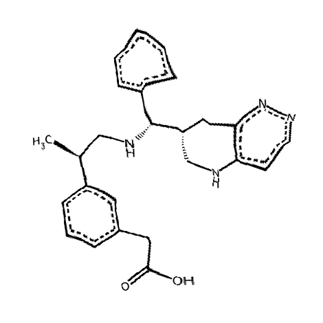 C[C@@H](CN[C@H](c1ccccc1)[C@H]1CNc2ccnnc2C1)c1cccc(CC(=O)O)c1